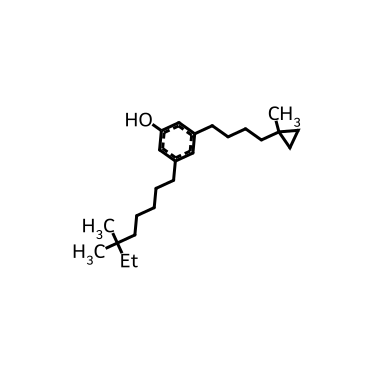 CCC(C)(C)CCCCCc1cc(O)cc(CCCCC2(C)CC2)c1